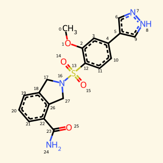 COc1cc(-c2cn[nH]c2)ccc1S(=O)(=O)N1Cc2cccc(C(N)=O)c2C1